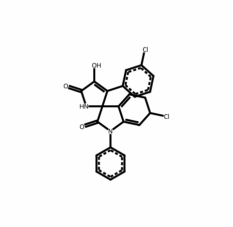 O=C1NC2(C(=O)N(c3ccccc3)C3=CC(Cl)CC=C32)C(c2cccc(Cl)c2)=C1O